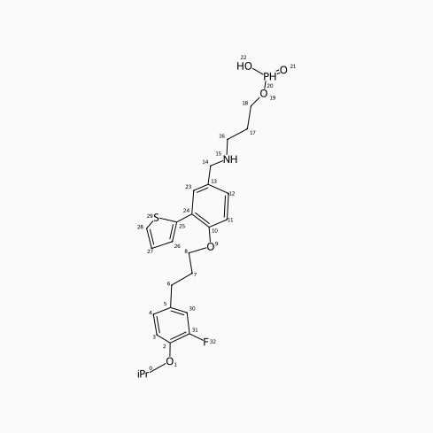 CC(C)Oc1ccc(CCCOc2ccc(CNCCCO[PH](=O)O)cc2-c2cccs2)cc1F